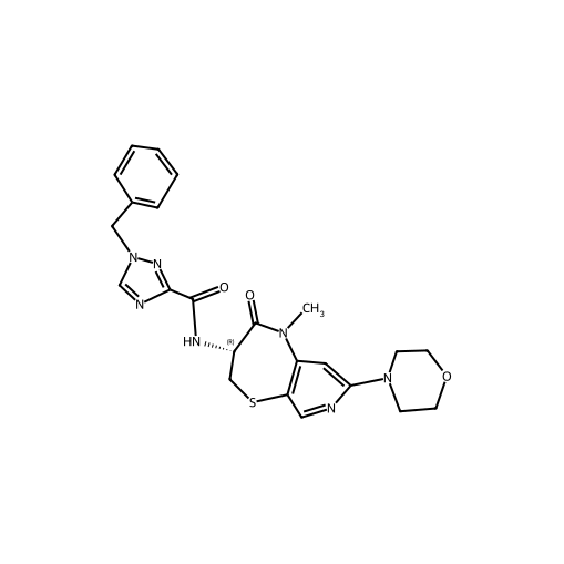 CN1C(=O)[C@@H](NC(=O)c2ncn(Cc3ccccc3)n2)CSc2cnc(N3CCOCC3)cc21